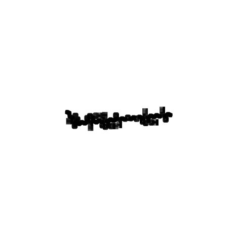 CCCC(=O)NS(=O)(=O)CCCC(=O)NC(CCC(=O)NC(CCC(=O)NCCOCCOCC(=O)NC(CCCCNC(=O)CC)C(=O)O)C(=O)O)C(=O)O